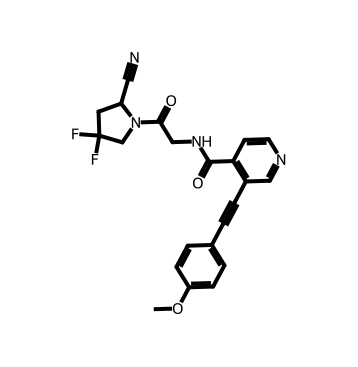 COc1ccc(C#Cc2cnccc2C(=O)NCC(=O)N2CC(F)(F)CC2C#N)cc1